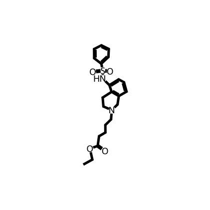 CCOC(=O)CCCCN1CCc2c(cccc2NS(=O)(=O)c2ccccc2)C1